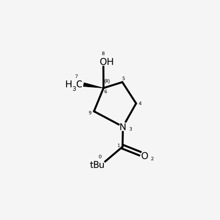 CC(C)(C)C(=O)N1CC[C@@](C)(O)C1